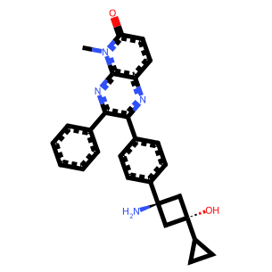 Cn1c(=O)ccc2nc(-c3ccc([C@]4(N)C[C@@](O)(C5CC5)C4)cc3)c(-c3ccccc3)nc21